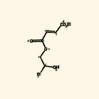 CCOC(=O)C=CC(=O)OCC(O)CC